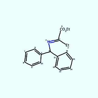 CCOC(=O)C(CC)=NC(c1ccccc1)c1ccccc1